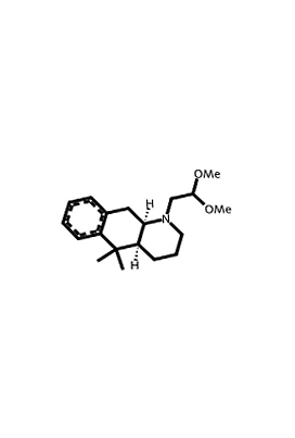 COC(CN1CCC[C@@H]2[C@H]1Cc1ccccc1C2(C)C)OC